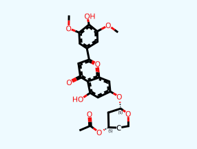 COc1cc(-c2cc(=O)c3c(O)cc(O[C@H]4C[C@@H](OC(C)=O)CCO4)cc3o2)cc(OC)c1O